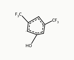 Oc1[c]c(C(F)(F)F)cc(C(F)(F)F)c1